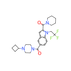 O=C(c1ccc2c(c1)cc(C(=O)N1CCCCC1)n2CC(F)(F)F)N1CCN(C2CCC2)CC1